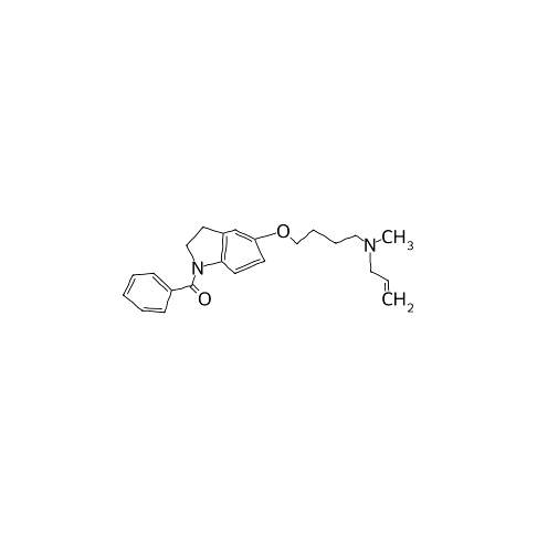 C=CCN(C)CCCCOc1ccc2c(c1)CCN2C(=O)c1ccccc1